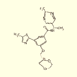 Cc1cnc(-c2cc(OC[C@H]3COCCO3)cc(C(=O)NC(C)c3cnc(C(F)(F)F)nc3)c2)s1